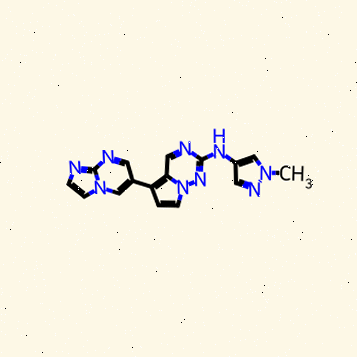 Cn1cc(Nc2ncc3c(-c4cnc5nccn5c4)ccn3n2)cn1